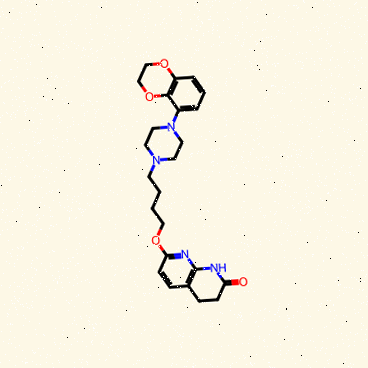 O=C1CCc2ccc(OCCCCN3CCN(c4cccc5c4OCCO5)CC3)nc2N1